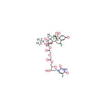 CC1(C)O[C@@H]2CC3C4C[C@H](F)C5=CC(=O)C=CC5(C)[C@@]4(F)[C@@H](O)CC3(C)[C@]2(C(=O)COC(=O)COCC(=O)OCC2OC(n3cc(F)c(=O)[nH]c3=O)CC2O)O1